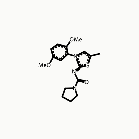 COc1ccc(OC)c(-n2cc(C)sc2=NC(=O)N2CCCC2)c1